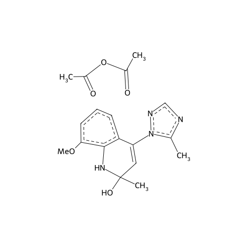 CC(=O)OC(C)=O.COc1cccc2c1NC(C)(O)C=C2n1ncnc1C